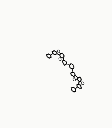 c1ccc(-c2ccc3oc4ccc5c6cc(-c7cccc(-c8ccc9oc%10c(ccc%11oc%12ccc(-c%13ccccc%13)cc%12c%11%10)c9c8)c7)ccc6oc5c4c3c2)cc1